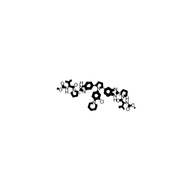 COC(=O)N[C@H](C(=O)N1CCC[C@H]1c1nc2cc([C@H]3CC[C@H](c4ccc5[nH]c([C@@H]6CCCN6C(=O)[C@@H](NC(=O)OC)C(C)C)nc5c4)N3c3ccc(N4CCCCC4)c(Cl)c3)ccc2[nH]1)C(C)C